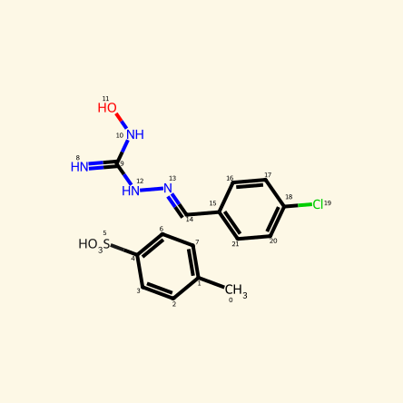 Cc1ccc(S(=O)(=O)O)cc1.N=C(NO)NN=Cc1ccc(Cl)cc1